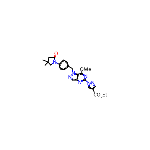 CCOC(=O)c1cnn(-c2nc(OC)c3c(cnn3Cc3ccc(N4CC(C)(C)CC4=O)cc3)n2)c1